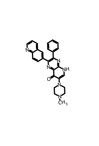 CN1CCN(c2c[nH]c3nc(-c4ccccc4)c(-c4ccc5ncccc5c4)nc3c2=O)CC1